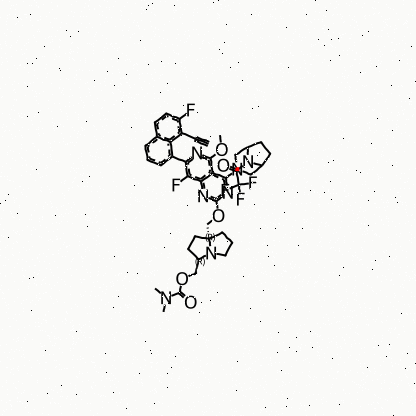 C#Cc1c(F)ccc2cccc(-c3nc(OC)c4c(N5CC6CCC(C5)N6C(=O)C(F)(F)F)nc(OC[C@]56CCCN5[C@@H](COC(=O)N(C)C)CC6)nc4c3F)c12